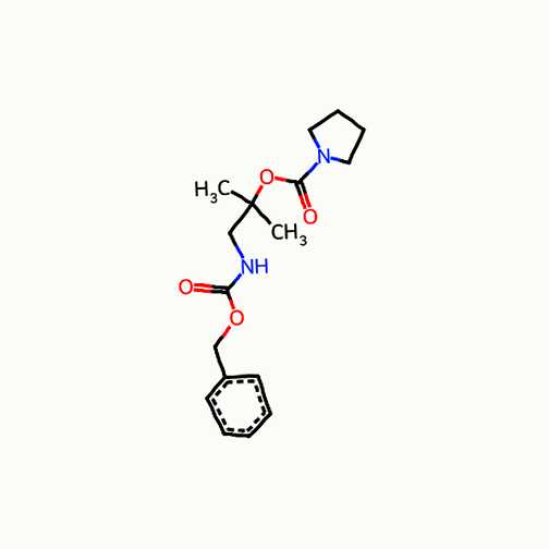 CC(C)(CNC(=O)OCc1ccccc1)OC(=O)N1CCCC1